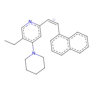 CCc1cnc(/C=C\c2cccc3ccccc23)cc1N1CCCCC1